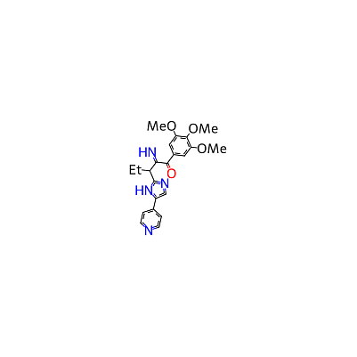 CCC(C(=N)C(=O)c1cc(OC)c(OC)c(OC)c1)c1ncc(-c2ccncc2)[nH]1